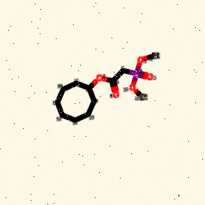 CCOP(=O)(CC(=O)OC1CCCCCCC1)OCC